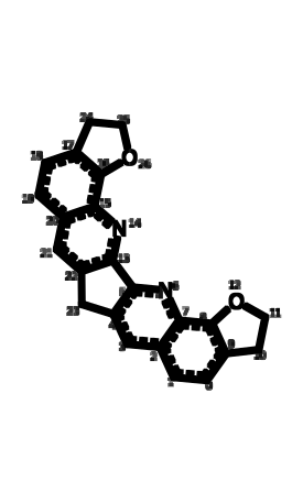 c1cc2cc3c(nc2c2c1CCO2)-c1nc2c4c(ccc2cc1C3)CCO4